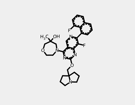 CC1(O)COCCN(c2nc(OCC34CCCN3CCC4)nc3c(F)c(-c4cccc5cccc(F)c45)ncc23)C1